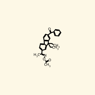 CCC1(CC)c2cc(C(=O)c3ccccc3)ccc2-c2ccc(C(C)=NOC(C)=O)cc21